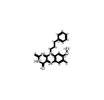 C=c1nc2c(c(=O)[nH]1)=Nc1cc(C)c(OCC)cc1N2CCCc1ccccc1